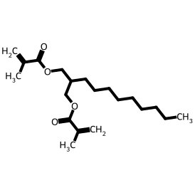 C=C(C)C(=O)OCC(CCCCCCCCC)COC(=O)C(=C)C